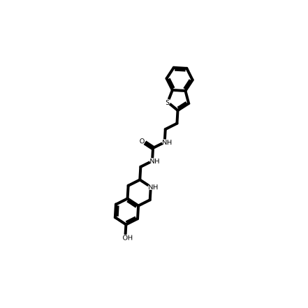 O=C(NCCc1cc2ccccc2s1)NCC1Cc2ccc(O)cc2CN1